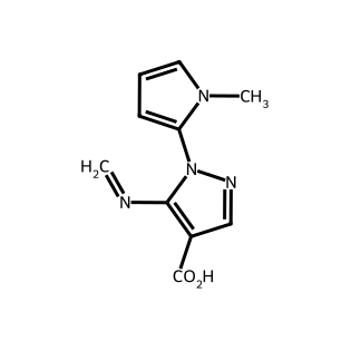 C=Nc1c(C(=O)O)cnn1-c1cccn1C